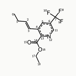 CC/C=C/c1cc(C(F)(F)F)cnc1C(=O)OCC